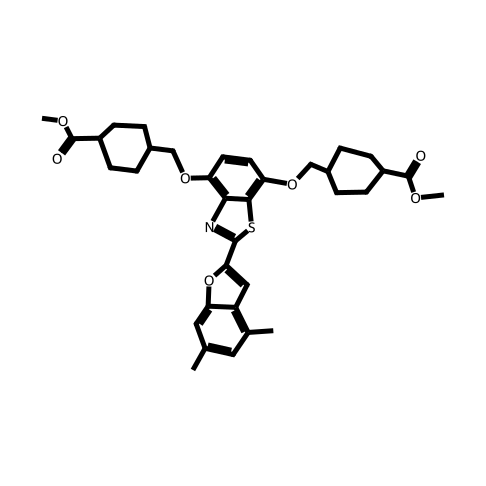 COC(=O)C1CCC(COc2ccc(OCC3CCC(C(=O)OC)CC3)c3sc(-c4cc5c(C)cc(C)cc5o4)nc23)CC1